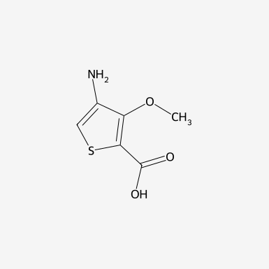 COc1c(N)csc1C(=O)O